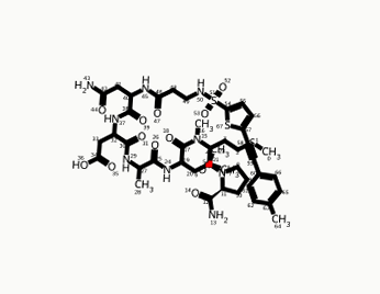 CSCCC(C(=O)N1CCC[C@H]1C(N)=O)N(C)C(=O)C(CC(C)C)NC(=O)C(C)NC(=O)C(CC(=O)O)NC(=O)C(CC(N)=O)NC(=O)CCNS(=O)(=O)c1ccc(C#Cc2ccc(C)cc2)s1